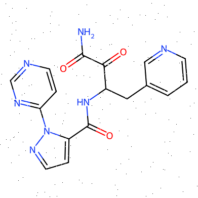 NC(=O)C(=O)C(Cc1cccnc1)NC(=O)c1ccnn1-c1ccncn1